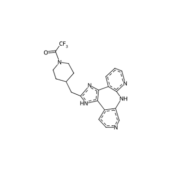 O=C(N1CCC(Cc2nc3c([nH]2)-c2ccncc2Nc2ncccc2-3)CC1)C(F)(F)F